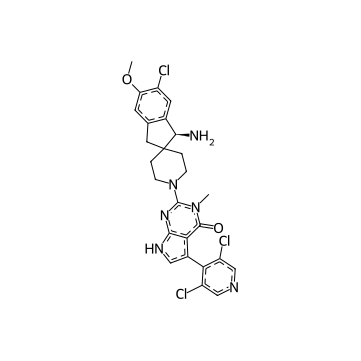 COc1cc2c(cc1Cl)[C@@H](N)C1(CCN(c3nc4[nH]cc(-c5c(Cl)cncc5Cl)c4c(=O)n3C)CC1)C2